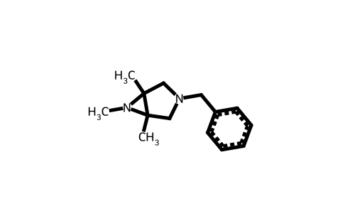 CN1C2(C)CN(Cc3ccccc3)CC12C